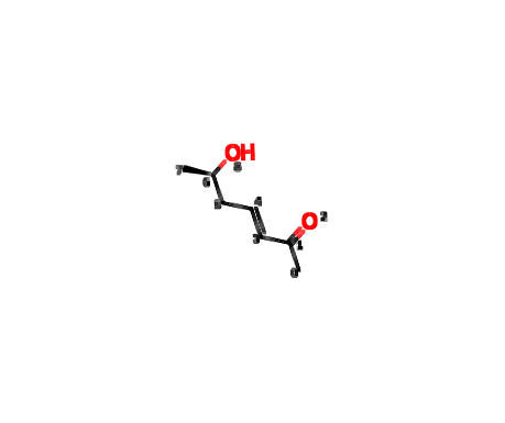 CC(=O)/C=C/C[C@@H](C)O